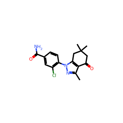 Cc1nn(-c2ccc(C(N)=O)cc2Cl)c2c1C(=O)CC(C)(C)C2